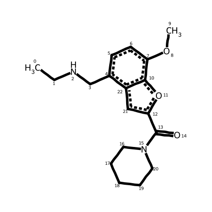 CCNCc1ccc(OC)c2oc(C(=O)N3CCCCC3)cc12